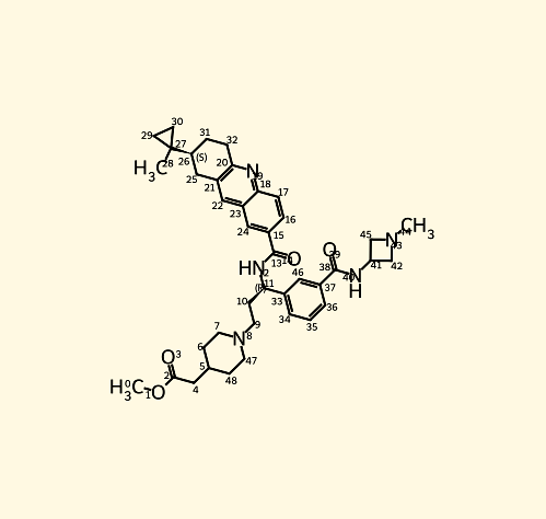 COC(=O)CC1CCN(CC[C@@H](NC(=O)c2ccc3nc4c(cc3c2)C[C@@H](C2(C)CC2)CC4)c2cccc(C(=O)NC3CN(C)C3)c2)CC1